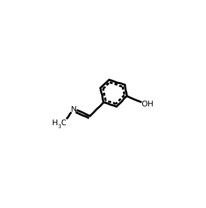 CN=Cc1cccc(O)c1